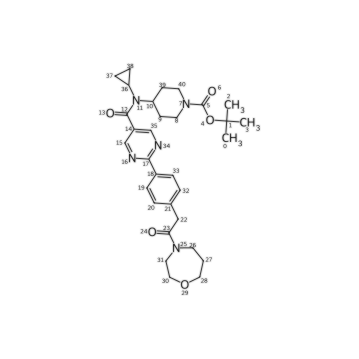 CC(C)(C)OC(=O)N1CCC(N(C(=O)c2cnc(-c3ccc(CC(=O)N4CCCOCC4)cc3)nc2)C2CC2)CC1